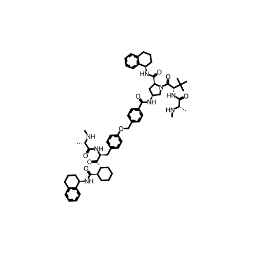 CN[C@@H](C)C(=O)N[C@@H](Cc1ccc(OCc2ccc(C(=O)N[C@H]3C[C@@H](C(=O)N[C@@H]4CCCc5ccccc54)N(C(=O)[C@@H](NC(=O)[C@H](C)NC)C(C)(C)C)C3)cc2)cc1)C(=O)[C@@H]1CCCC[C@H]1C(=O)N[C@@H]1CCCc2ccccc21